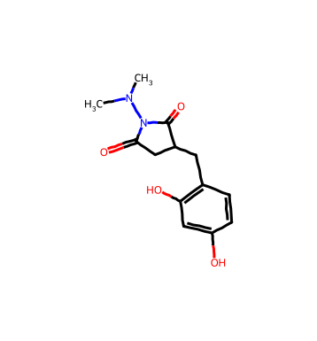 CN(C)N1C(=O)CC(Cc2ccc(O)cc2O)C1=O